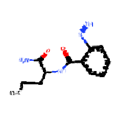 N=Nc1ccccc1C(=O)NC(CCC=O)C(N)=O